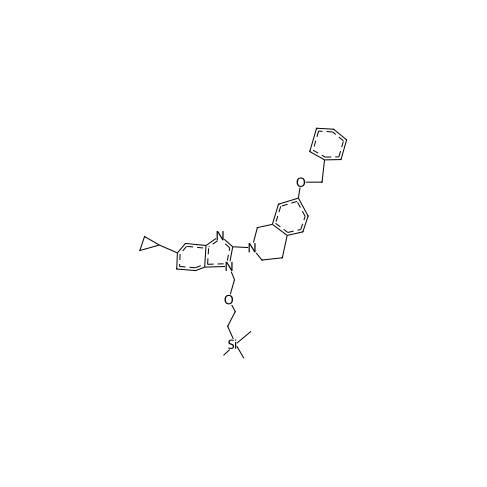 C[Si](C)(C)CCOCn1c(N2CCc3ccc(OCc4ccccc4)cc3C2)nc2cc(C3CC3)ccc21